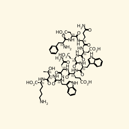 C[C@@H](O)[C@H](NC(=O)[C@H](Cc1c[nH]c2ccccc12)NC(=O)[C@H](CC(N)=O)NC(=O)[C@H](CCC(=O)O)NC(=O)[C@H](Cc1c[nH]c2ccccc12)NC(=O)[C@H](CC(=O)O)NC(=O)[C@H](CC(=O)O)NC(=O)[C@H](CCC(N)=O)NC(=O)[C@H](CC(=O)O)NC(=O)[C@@H](N)Cc1ccccc1)C(=O)N[C@@H](CCCCN)C(=O)O